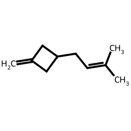 C=C1C[C](CC=C(C)C)C1